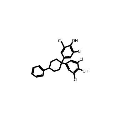 Oc1c(Cl)cc(C2(c3cc(Cl)c(O)c(Cl)c3)CCC(c3ccccc3)CC2)cc1Cl